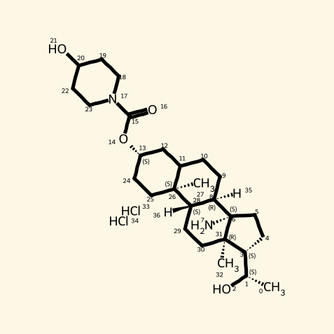 C[C@H](O)[C@H]1CC[C@]2(N)[C@@H]3CCC4C[C@@H](OC(=O)N5CCC(O)CC5)CC[C@]4(C)[C@H]3CC[C@]12C.Cl.Cl